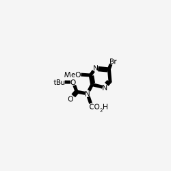 COc1nc(Br)cnc1N(C(=O)O)C(=O)OC(C)(C)C